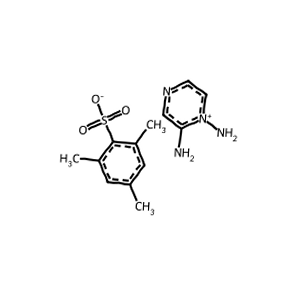 Cc1cc(C)c(S(=O)(=O)[O-])c(C)c1.Nc1cncc[n+]1N